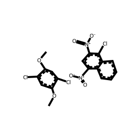 COc1cc(Cl)c(OC)cc1Cl.O=[N+]([O-])c1cc([N+](=O)[O-])c2ccccc2c1Cl